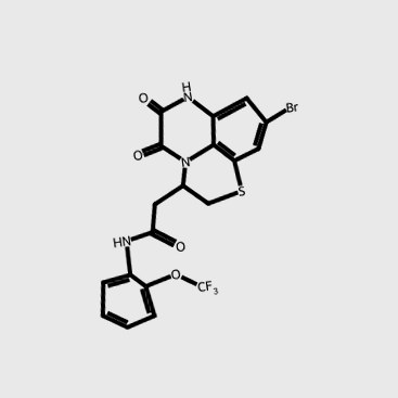 O=C(CC1CSc2cc(Br)cc3[nH]c(=O)c(=O)n1c23)Nc1ccccc1OC(F)(F)F